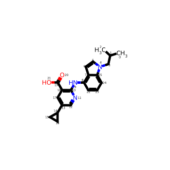 CC(C)Cn1ccc2c(Nc3ncc(C4CC4)cc3C(=O)O)cccc21